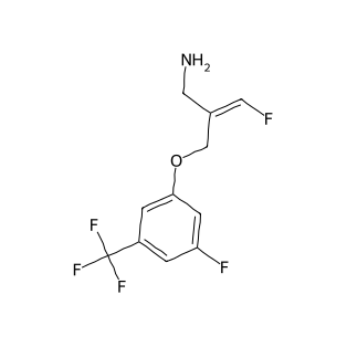 NC/C(=C/F)COc1cc(F)cc(C(F)(F)F)c1